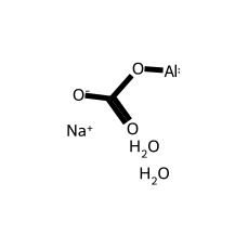 O.O.O=C([O-])[O][Al].[Na+]